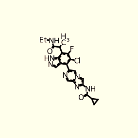 CCNC(=O)C(C)c1c(F)c(Cl)c(-c2cn3cc(NC(=O)C4CC4)nc3cn2)c2cn[nH]c12